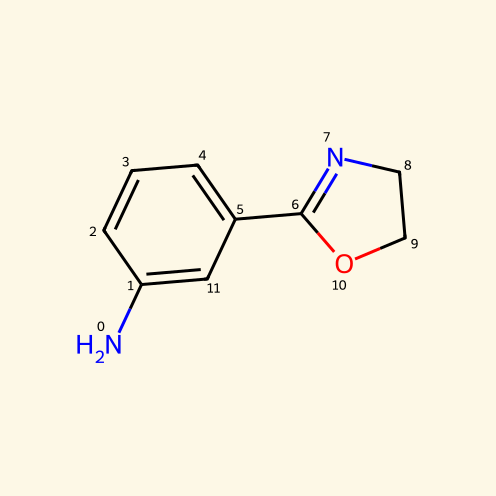 Nc1cccc(C2=NCCO2)c1